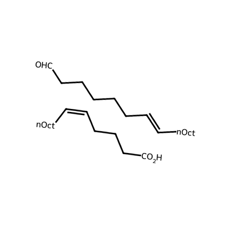 CCCCCCCC/C=C/CCCCCC=O.CCCCCCCC/C=C\CCCC(=O)O